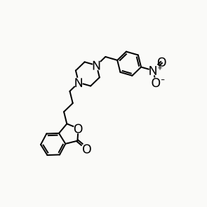 O=C1OC(CCCN2CCN(Cc3ccc([N+](=O)[O-])cc3)CC2)c2ccccc21